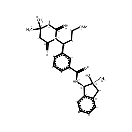 COCCC(c1cccc(C(=O)N[C@@H]2c3ccccc3C[C@]2(C)O)c1)N1C(=N)NC(C)(C)CC1=O